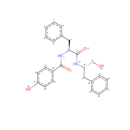 O=C(N[C@@H](Cc1ccccc1)C(=O)N[C@H](CO)Cc1ccccc1)c1ccc(O)cc1